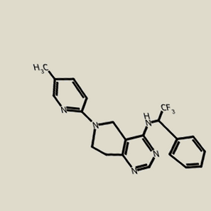 Cc1ccc(N2CCc3ncnc(NC(c4ccccc4)C(F)(F)F)c3C2)nc1